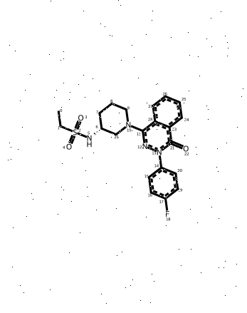 CCS(=O)(=O)N[C@@H]1CCCN(c2nn(-c3ccc(F)cc3)c(=O)c3ccccc23)C1